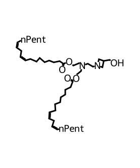 CCCCC/C=C\C/C=C\CCCCCCCC(=O)OCCN(CCOC(=O)CCCCCCC/C=C\C/C=C\CCCCC)CCN1CC(CO)C1